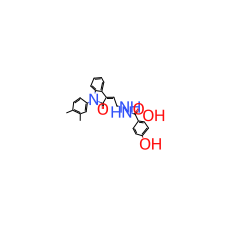 Cc1ccc(N2C(=O)C(=CCNNC(=O)c3ccc(O)cc3O)c3ccccc32)cc1C